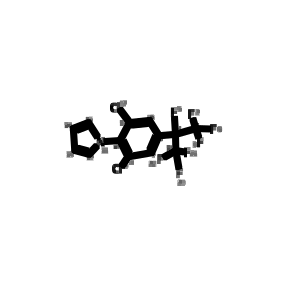 FC(F)(F)C(F)(c1cc(Cl)c(-n2cccc2)c(Cl)c1)C(F)(F)F